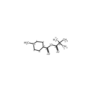 CN1CCC(C(=O)OC(=O)C(C)(C)C)CC1